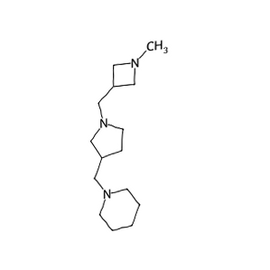 CN1CC(CN2CCC(CN3CCCCC3)C2)C1